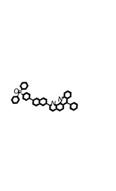 O=P(c1ccccc1)(c1ccccc1)c1ccc(-c2ccc3cc(-c4ccc5ccc6c(-c7ccccc7)c7ccccc7nc6c5n4)ccc3c2)cc1